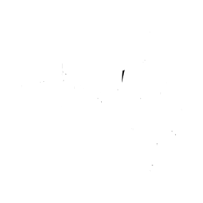 CC(C)(C)NS(=O)(=O)N[C@@H](CC(=O)O)c1ccnc(Br)c1